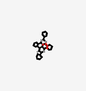 c1ccc(-c2nc(-c3ccccc3)nc(-c3ccccc3-c3c4ccccc4nc4c3sc3ccccc34)n2)cc1